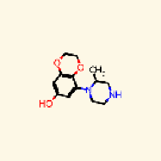 CC1CNCCN1c1cc(O)cc2c1OCCO2